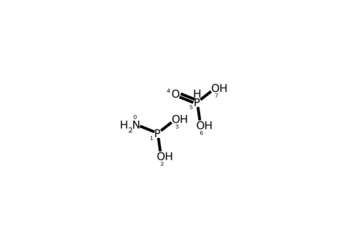 NP(O)O.O=[PH](O)O